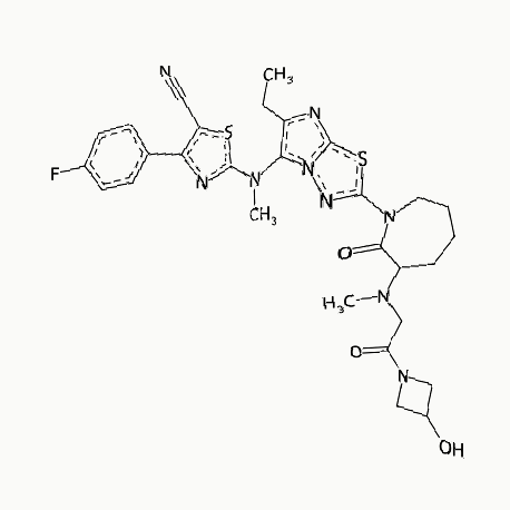 CCc1nc2sc(N3CCCCC(N(C)CC(=O)N4CC(O)C4)C3=O)nn2c1N(C)c1nc(-c2ccc(F)cc2)c(C#N)s1